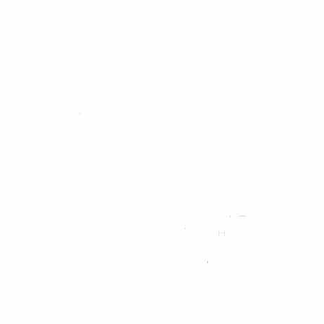 C#CC(C)(C)C(C)C=CCO[PH](=O)O